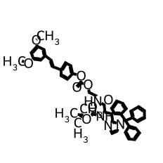 COc1cc(C=Cc2ccc(OC(=O)OCCNC(=O)C(Cc3nccn3C(c3ccccc3)(c3ccccc3)c3ccccc3)NC(=O)OC(C)(C)C)cc2)cc(OC)c1